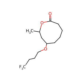 CC1CC(OCCCC(F)(F)F)CCCCC(=O)O1